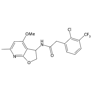 COc1cc(C)nc2c1C(NC(=O)Cc1cccc(C(F)(F)F)c1Cl)CO2